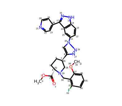 COC(=O)[C@@H]1CC[C@@H](c2cn(-c3ccc4[nH]nc(-c5ccncc5)c4c3)nn2)CN1Cc1c(F)cccc1OC